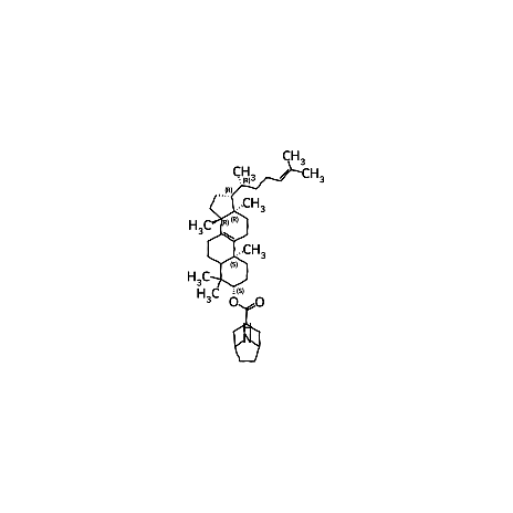 CC(C)=CCC[C@@H](C)[C@H]1CC[C@@]2(C)C3=C(CC[C@]12C)[C@@]1(C)CC[C@H](OC(=O)C2CC4CCC(C2)N4)C(C)(C)C1CC3